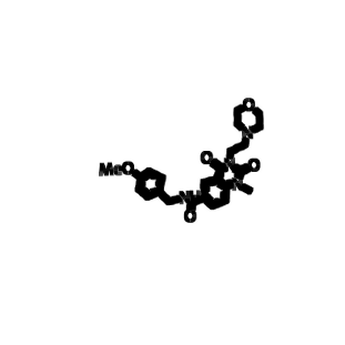 COc1ccc(CNC(=O)c2ccc3c(c2)c(=O)n(CCN2CCOCC2)c(=O)n3C)cc1